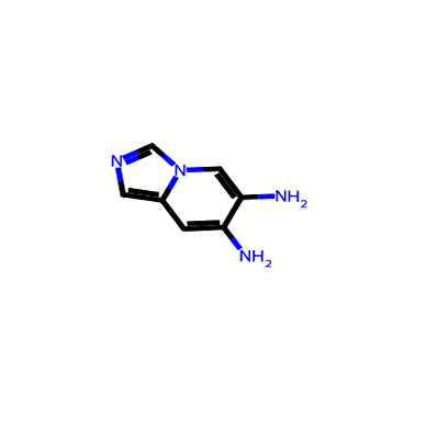 Nc1cc2cncn2cc1N